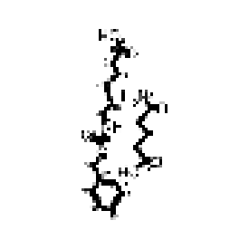 NC(=O)CCCC(=O)O.O=C(O)CCCCCNC(=O)OCc1ccccc1